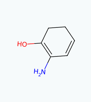 NC1=C(O)CCC=C1